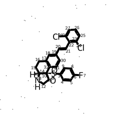 O=S(=O)(c1ccc(F)cc1)[C@@]12CCN[C@@H]1CCc1cc(/C=C/c3c(Cl)cccc3Cl)ccc12